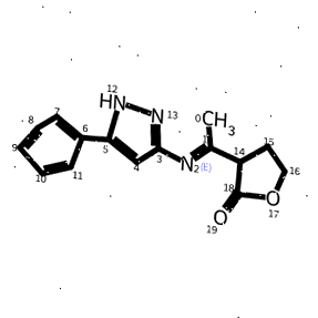 C/C(=N\c1cc(-c2ccccc2)[nH]n1)C1CCOC1=O